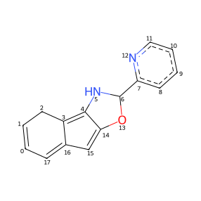 C1=CCC2=C3NC(c4ccccn4)OC3=CC2=C1